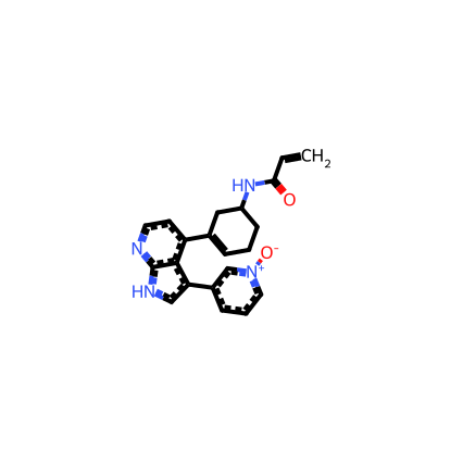 C=CC(=O)NC1CCC=C(c2ccnc3[nH]cc(-c4ccc[n+]([O-])c4)c23)C1